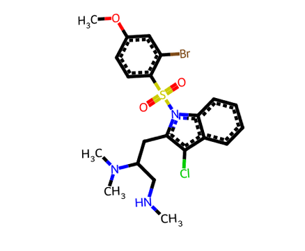 CNCC(Cc1c(Cl)c2ccccc2n1S(=O)(=O)c1ccc(OC)cc1Br)N(C)C